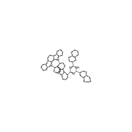 c1ccc(-n2c3ccccc3c3ccc4c5ccccc5n(-c5ccc6c(c5)oc5cccc(C7=NC(c8ccc9ccccc9c8)NC(c8ccc9ccccc9c8)=N7)c56)c4c32)cc1